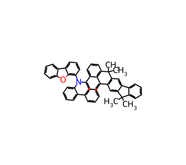 CC1(C)c2ccccc2-c2cc3c(cc21)-c1ccc(N(c2ccccc2-c2ccccc2)c2cccc4c2oc2ccccc24)c2cccc(c12)C3(C)C